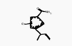 C=C[C](C)c1cc(Cl)cc(C(N)=O)c1